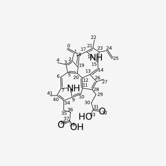 C=CC1=C(C)c2cc3[nH]c(cc4c5c(cc6[nH]c(cc1c25)c(C)c6C=C)C(C)=C4CCC(=O)O)c(CCC(=O)O)c3C